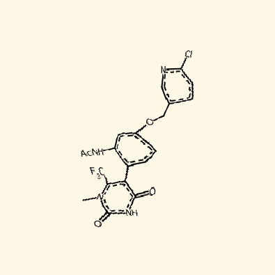 CC(=O)Nc1cc(OCc2ccc(Cl)nc2)ccc1-c1c(C(F)(F)F)n(C)c(=O)[nH]c1=O